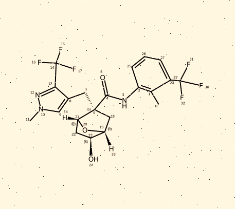 Cc1c(NC(=O)[C@@]2(Cc3cn(C)nc3C(F)(F)F)C[C@H]3O[C@@H]2C[C@@H]3O)cccc1C(F)(F)F